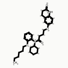 CCCCCCOc1ccccc1N(C(=O)CCCOc1ccc2c(c1)CCC(=O)N2)C1CCCCC1